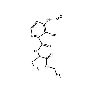 CCOC(=O)C(CC)NC(=O)c1nccc(NC=O)c1O